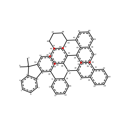 CC1(C)c2ccccc2-c2c(-c3ccccc3N(c3ccc4ccccc4c3)c3ccccc3-c3cccc4cccc(C5CCCCC5)c34)cccc21